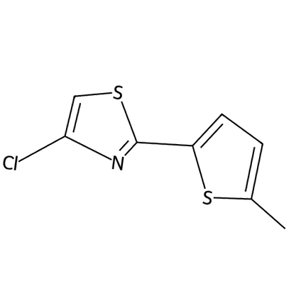 Cc1ccc(-c2nc(Cl)cs2)s1